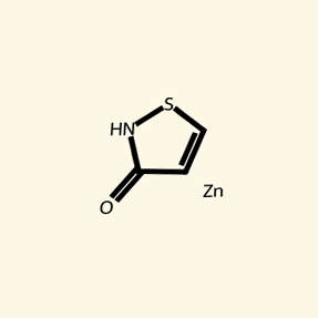 O=c1ccs[nH]1.[Zn]